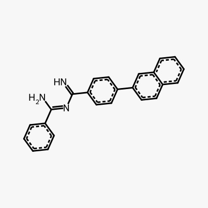 N=C(/N=C(\N)c1ccccc1)c1ccc(-c2ccc3ccccc3c2)cc1